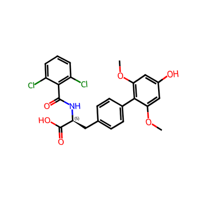 COc1cc(O)cc(OC)c1-c1ccc(C[C@H](NC(=O)c2c(Cl)cccc2Cl)C(=O)O)cc1